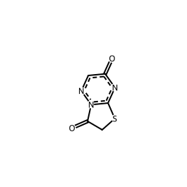 O=C1CSc2nc(=O)cnn21